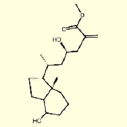 C=C(C[C@H](O)C[C@@H](C)[C@H]1CCC2C(O)CCC[C@]21C)C(=O)OC